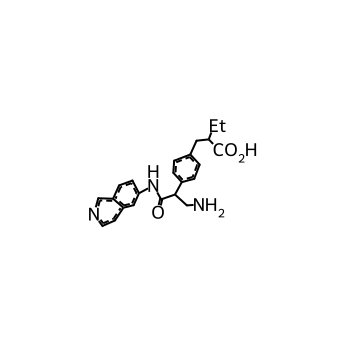 CCC(Cc1ccc(C(CN)C(=O)Nc2ccc3cnccc3c2)cc1)C(=O)O